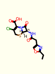 CCc1nc(CC(=O)N[C@@H]2C(=O)N3C(C(=O)O)=C(Cl)CS[C@H]23)co1